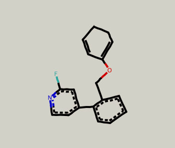 Fc1cc(-c2ccccc2COC2=CC[CH]C=C2)ccn1